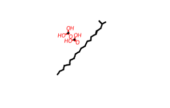 CCCCCCCCCCCCCCC=CCC(C)C.O=C(O)O.O=C(O)O